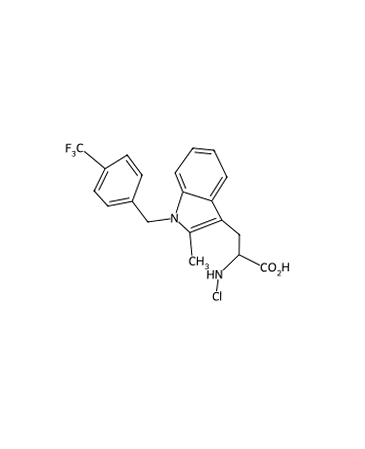 Cc1c(CC(NCl)C(=O)O)c2ccccc2n1Cc1ccc(C(F)(F)F)cc1